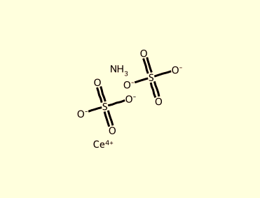 N.O=S(=O)([O-])[O-].O=S(=O)([O-])[O-].[Ce+4]